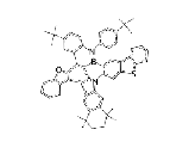 CC(C)(C)c1ccc(N2B3c4cc5c(cc4-n4c6cc7c(cc6c6c8c(oc9ccccc98)c(c3c64)-c3cc(C(C)(C)C)ccc32)C(C)(C)CCC7(C)C)sc2ccccc25)cc1